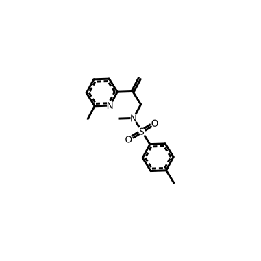 C=C(CN(C)S(=O)(=O)c1ccc(C)cc1)c1cccc(C)n1